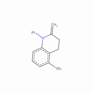 C=C1CCc2c(cccc2C(C)(C)C)N1C(C)C